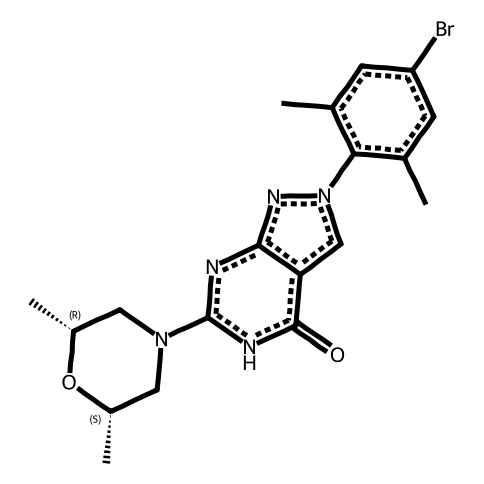 Cc1cc(Br)cc(C)c1-n1cc2c(=O)[nH]c(N3C[C@@H](C)O[C@@H](C)C3)nc2n1